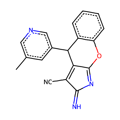 Cc1cncc(C2C3=C(C#N)C(=N)N=C3Oc3ccccc32)c1